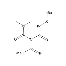 COC(=N)N(C(=O)NSC(C)(C)C)C(=O)N(C)C